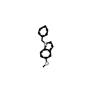 COc1ccc2c([c]cn2Cc2ccccc2)c1